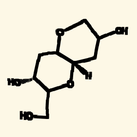 OCC1O[C@H]2CC(O)COC2C[C@H]1O